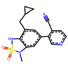 CN1c2cc(-c3cnccc3C#N)cc(CC3CC3)c2NS1(=O)=O